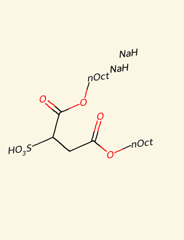 CCCCCCCCOC(=O)CC(C(=O)OCCCCCCCC)S(=O)(=O)O.[NaH].[NaH]